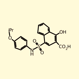 CC(C)Oc1ccc(NS(=O)(=O)c2cc(C(=O)O)c(O)c3ccccc23)cc1